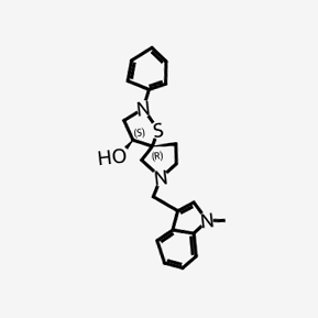 Cn1cc(CN2CC[C@]3(C2)SN(c2ccccc2)C[C@@H]3O)c2ccccc21